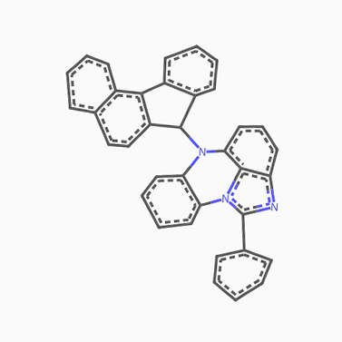 c1ccc(-c2nc3cccc4c3n2-c2ccccc2N4C2c3ccccc3-c3c2ccc2ccccc32)cc1